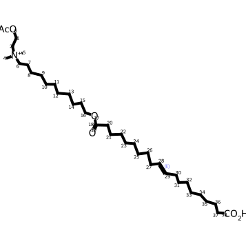 CC(=O)OCC[N+](C)(C)CCCCCCCCCCCOC(=O)CCCCCCCC/C=C/CCCCCCCCC(=O)O